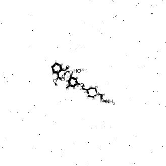 COC(=O)c1ccccc1S(=O)(=O)Oc1cc(C)cc(OCC2CCN(C=NN)CC2)c1.Cl